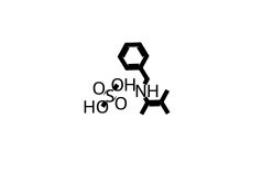 CC(C)=C(C)NCc1ccccc1.O=S(=O)(O)O